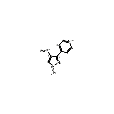 CSc1cn(C(C)C)nc1-c1ccncc1